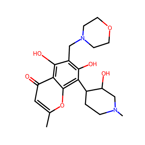 Cc1cc(=O)c2c(O)c(CN3CCOCC3)c(O)c(C3CCN(C)CC3O)c2o1